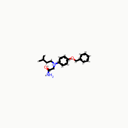 CC(C)CCN(CC(N)=O)c1ccc(OCc2ccccc2)cc1